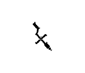 C=CCS(C)(C)C#N